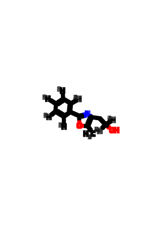 [2H]c1c([2H])c([2H])c(-c2nc(CC([2H])([2H])O)c(C)o2)c([2H])c1[2H]